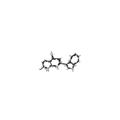 Cc1ccc2c(=O)cc(-c3csc4ccccc34)nc-2[nH]1